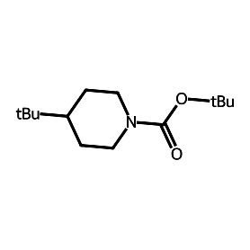 CC(C)(C)OC(=O)N1CCC(C(C)(C)C)CC1